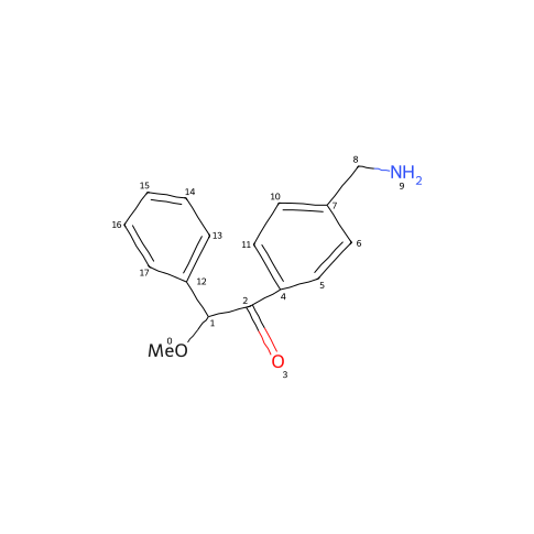 COC(C(=O)c1ccc(CN)cc1)c1ccccc1